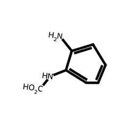 Nc1ccccc1NC(=O)O